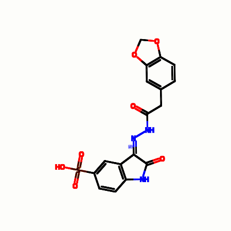 O=C(Cc1ccc2c(c1)OCO2)N/N=C1\C(=O)Nc2ccc(S(=O)(=O)O)cc21